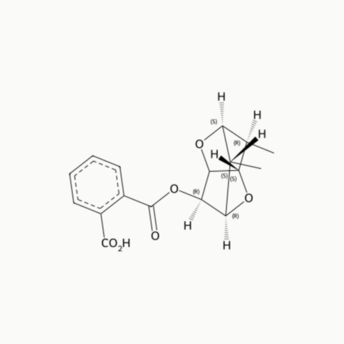 C[C@@H]1[C@@H]2OC3[C@H]1O[C@H]([C@H]2C)[C@H]3OC(=O)c1ccccc1C(=O)O